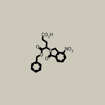 O=C(O)CCC(C(=O)OCc1ccccc1)N1Cc2c(cccc2[N+](=O)[O-])C1=O